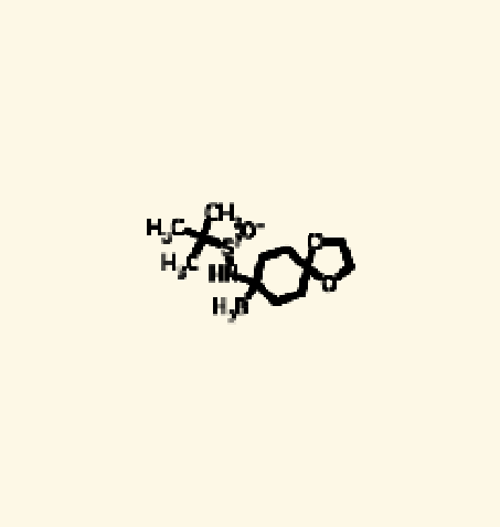 BC1(N[S+]([O-])C(C)(C)C)CCC2(CC1)OCCO2